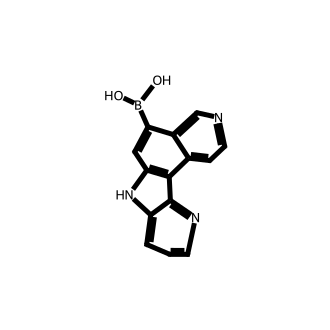 OB(O)c1cc2[nH]c3cccnc3c2c2ccncc12